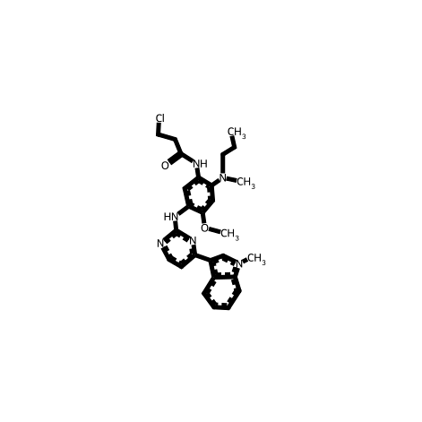 CCCN(C)c1cc(OC)c(Nc2nccc(-c3cn(C)c4ccccc34)n2)cc1NC(=O)CCCl